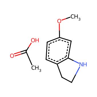 CC(=O)O.COc1ccc2c(c1)NCC2